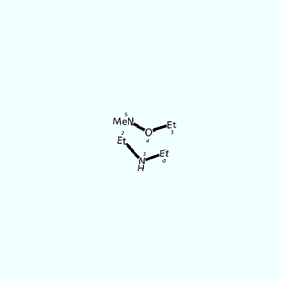 CCNCC.CCONC